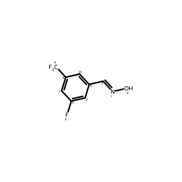 ON=Cc1cc(F)cc(C(F)(F)F)c1